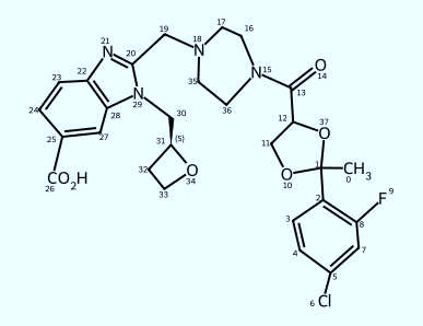 CC1(c2ccc(Cl)cc2F)OCC(C(=O)N2CCN(Cc3nc4ccc(C(=O)O)cc4n3C[C@@H]3CCO3)CC2)O1